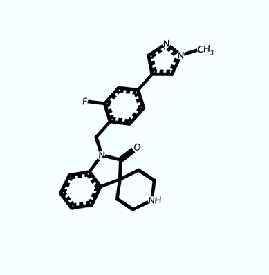 Cn1cc(-c2ccc(CN3C(=O)C4(CCNCC4)c4ccccc43)c(F)c2)cn1